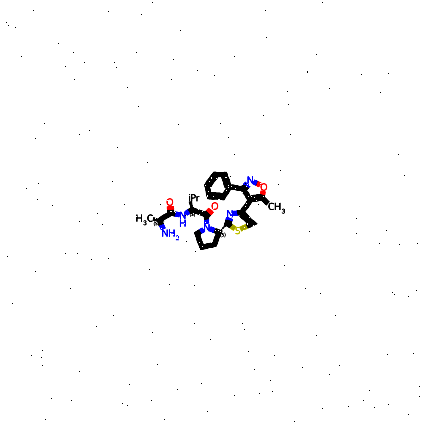 Cc1onc(-c2ccccc2)c1-c1csc([C@@H]2CCCN2C(=O)[C@@H](NC(=O)[C@H](C)N)C(C)C)n1